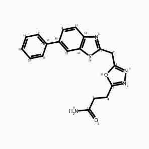 NC(=O)CCc1nnc(Cc2nc3ccc(-c4ccccc4)cc3s2)o1